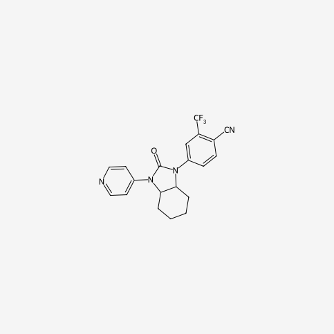 N#Cc1ccc(N2C(=O)N(c3ccncc3)C3CCCCC32)cc1C(F)(F)F